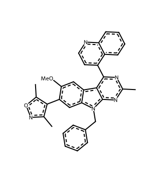 COc1cc2c3c(-c4ccnc5ccccc45)nc(C)nc3n(Cc3ccccc3)c2cc1-c1c(C)noc1C